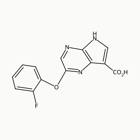 O=C(O)c1c[nH]c2ncc(Oc3ccccc3F)nc12